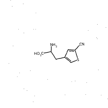 N#Cc1cc(CC(N)C(=O)O)cs1